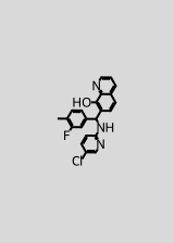 Cc1ccc(C(Nc2ccc(Cl)cn2)c2ccc3cccnc3c2O)cc1F